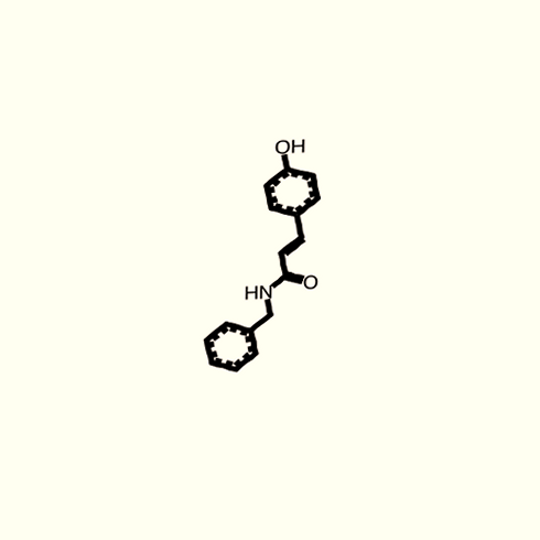 O=C(C=Cc1ccc(O)cc1)NCc1ccccc1